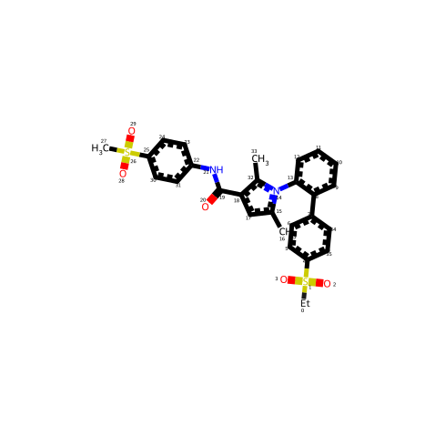 CCS(=O)(=O)c1ccc(-c2ccccc2-n2c(C)cc(C(=O)Nc3ccc(S(C)(=O)=O)cc3)c2C)cc1